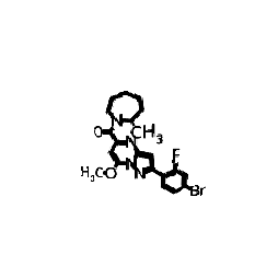 COc1cc(C(=O)N2CCCCC[C@H]2C)nc2cc(-c3ccc(Br)cc3F)nn12